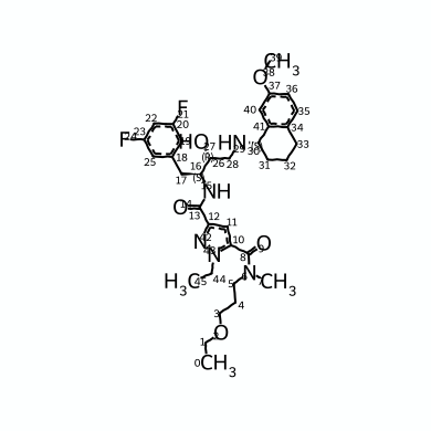 CCOCCCN(C)C(=O)c1cc(C(=O)N[C@@H](Cc2cc(F)cc(F)c2)[C@H](O)CN[C@H]2CCCc3ccc(OC)cc32)nn1CC